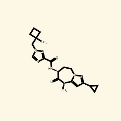 CN1C(=O)[C@@H](NC(=O)c2ncn(CC3(C)CCC3)n2)CCn2nc(C3CC3)cc21